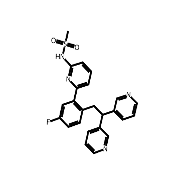 CS(=O)(=O)Nc1cccc(-c2cc(F)ccc2CC(c2cccnc2)c2cccnc2)n1